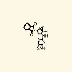 CSc1cnc(N[C@@H]2C[C@@H](N3C(=O)c4ccccc4C3=O)[C@H]3C[C@@H]32)nc1